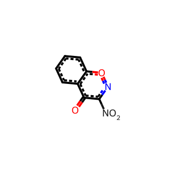 O=c1c([N+](=O)[O-])noc2ccccc12